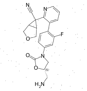 N#CC1(c2ncccc2-c2ccc(N3C[C@H](CN)OC3=O)cc2F)C2COCC21